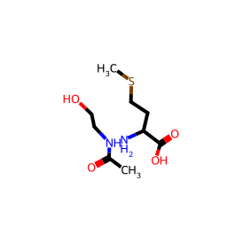 CC(=O)NCCO.CSCCC(N)C(=O)O